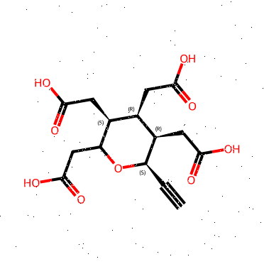 C#C[C@H]1OC(CC(=O)O)[C@@H](CC(=O)O)[C@@H](CC(=O)O)[C@H]1CC(=O)O